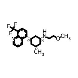 COCCN[C@@H]1C[C@H](C)C[C@H](c2ccc(C(F)(F)F)c3ncccc23)C1